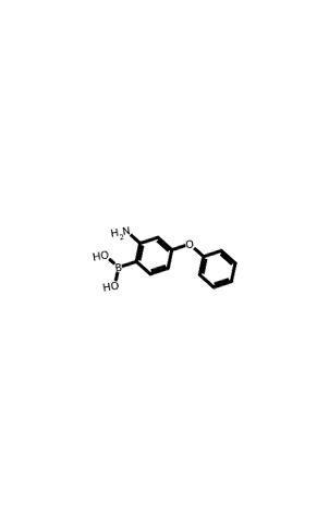 Nc1cc(Oc2ccccc2)ccc1B(O)O